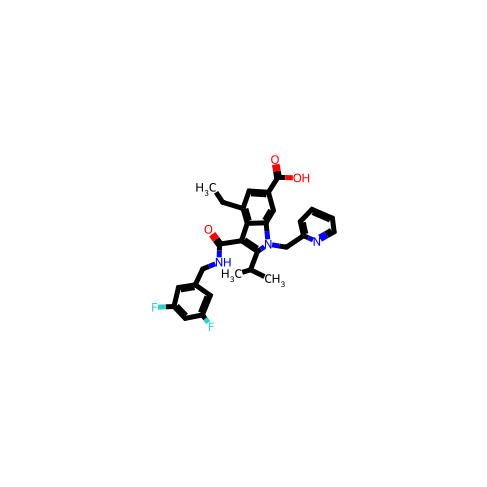 CCc1cc(C(=O)O)cc2c1c(C(=O)NCc1cc(F)cc(F)c1)c(C(C)C)n2Cc1ccccn1